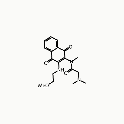 COCCNC1=C(N(C)C(=O)CN(C)C)C(=O)c2ccccc2C1=O